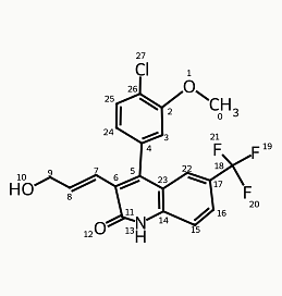 COc1cc(-c2c(C=CCO)c(=O)[nH]c3ccc(C(F)(F)F)cc23)ccc1Cl